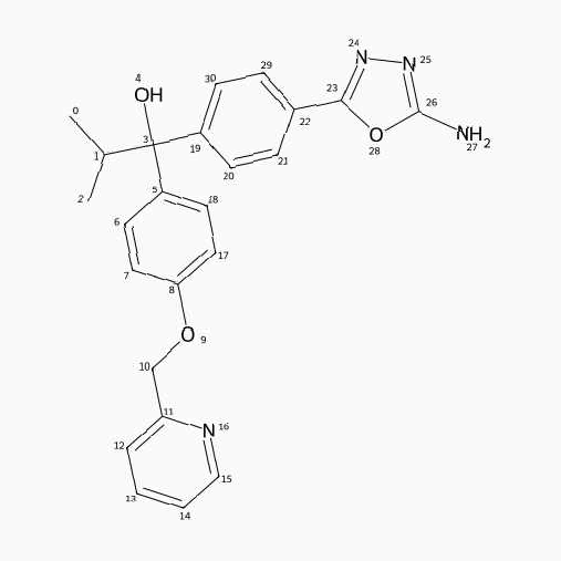 CC(C)C(O)(c1ccc(OCc2ccccn2)cc1)c1ccc(-c2nnc(N)o2)cc1